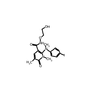 Cc1cc(C(=O)NOCCO)c(N(C)c2ccc(I)cc2)n(C)c1=O